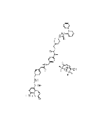 CN(C(=O)CCN1CCC(OC(=O)Nc2ccccc2-c2ccccc2)CC1)c1ccc(CNC(=O)Cc2ccc(CNC[C@H](O)c3ccc(O)c4[nH]c(=O)ccc34)cc2)cc1.O=C(O)C(F)(F)F.O=C(O)C(F)(F)F